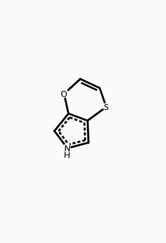 C1=CSc2c[nH]cc2O1